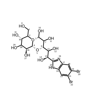 OCC1O[C@H](O[C@H](C(O)CO)C(O)[C@H](O)c2nc3cc(Br)c(Br)cc3[nH]2)[C@@H](O)C(O)[C@@H]1O